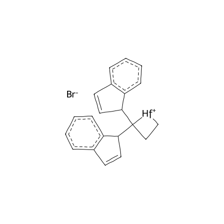 C1=CC([C]2(C3C=Cc4ccccc43)C[CH2][Hf+]2)c2ccccc21.[Br-]